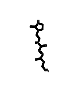 CCOC(=O)/N=N/C(=O)NCCN1CCNC1=O